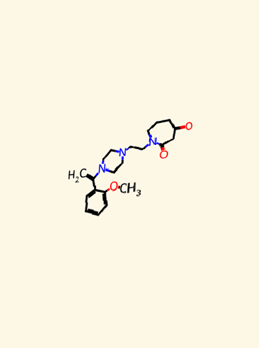 C=C(c1ccccc1OC)N1CCN(CCN2CCCC(=O)CC2=O)CC1